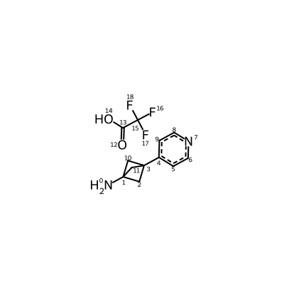 NC12CC(c3ccncc3)(C1)C2.O=C(O)C(F)(F)F